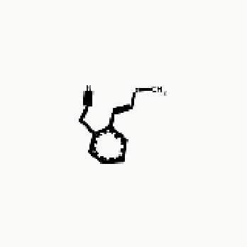 COC=Cc1ccccc1CC#N